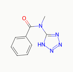 CN(C(=O)c1ccccc1)c1nnn[nH]1